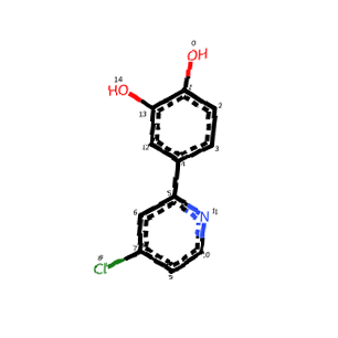 Oc1ccc(-c2cc(Cl)ccn2)cc1O